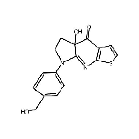 O=C1c2ccsc2N=C2N(c3ccc(CO)cc3)CCC12O